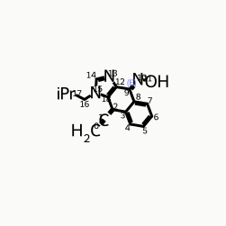 C=C=C1c2ccccc2/C(=N\O)c2ncn(CC(C)C)c21